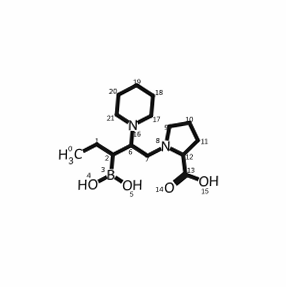 CCC(B(O)O)C(CN1CCCC1C(=O)O)N1CCCCC1